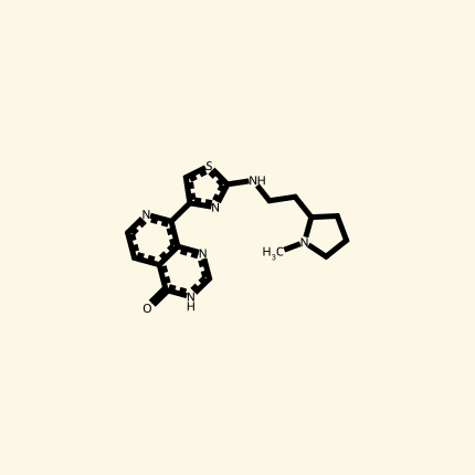 CN1CCCC1CCNc1nc(-c2nccc3c(=O)[nH]cnc23)cs1